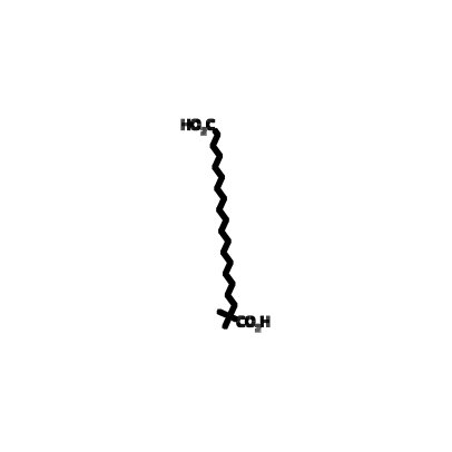 CC(C)(CCCCCCCCCCCCCCCCCC(=O)O)C(=O)O